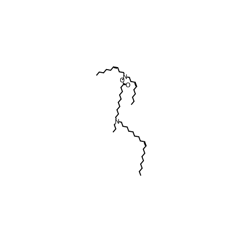 CCCCC/C=C\CCN(CC/C=C\CCCCC)OC(=O)CCCCCCCCCN(CCC)CCCCCCCC/C=C\CCCCCCCC